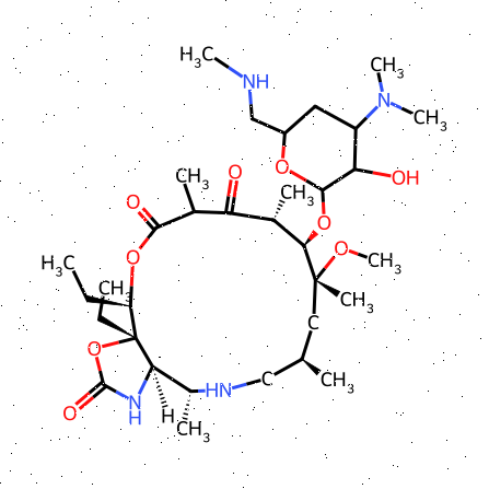 CC[C@H]1OC(=O)C(C)C(=O)[C@H](C)[C@@H](OC2OC(CNC)CC(N(C)C)C2O)[C@](C)(OC)C[C@@H](C)CN[C@H](C)[C@H]2NC(=O)O[C@@]21CC